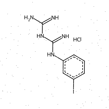 Cl.N=C(N)NC(=N)Nc1cccc(I)c1